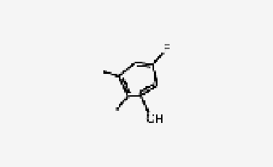 Cc1cc(F)cc(O)c1I